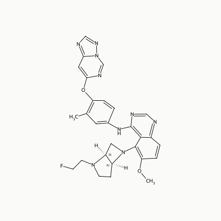 COc1ccc2ncnc(Nc3ccc(Oc4cc5ncnn5cn4)c(C)c3)c2c1N1C[C@H]2[C@@H]1CCN2CCF